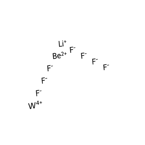 [Be+2].[F-].[F-].[F-].[F-].[F-].[F-].[F-].[Li+].[W+4]